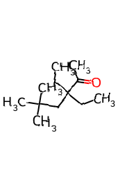 CCC(CC)(CC(C)(C)C)C(C)=O